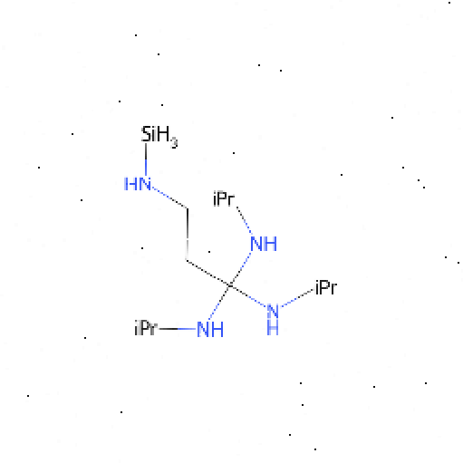 CC(C)NC(CCN[SiH3])(NC(C)C)NC(C)C